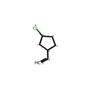 [CH]=CC1CCC(Cl)C1